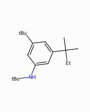 CCC(C)(C)c1cc(NC(C)(C)C)cc(C(C)(C)C)c1